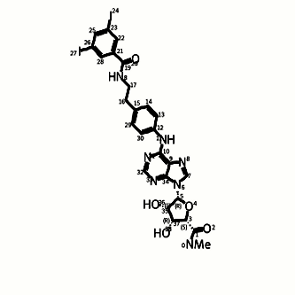 CNC(=O)[C@H]1O[C@@H](n2cnc3c(Nc4ccc(CCNC(=O)c5cc(I)cc(I)c5)cc4)ncnc32)[C@@H](O)[C@H]1O